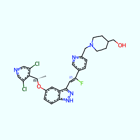 C[C@H](Oc1ccc2[nH]nc(/C=C(\F)c3ccc(CN4CCC(CO)CC4)nc3)c2c1)c1c(Cl)cncc1Cl